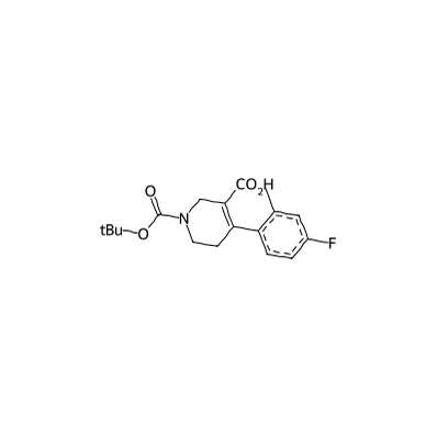 Cc1cc(F)ccc1C1=C(C(=O)O)CN(C(=O)OC(C)(C)C)CC1